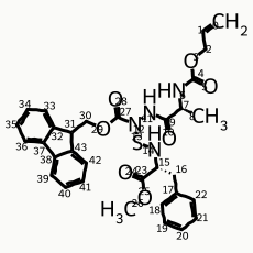 C=CCOC(=O)N[C@@H](C)C(=O)NN(SN[C@H](Cc1ccccc1)C(=O)OC)C(=O)OCC1c2ccccc2-c2ccccc21